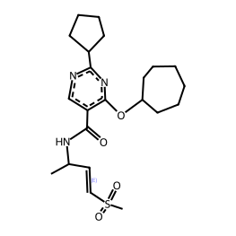 CC(/C=C/S(C)(=O)=O)NC(=O)c1cnc(C2CCCC2)nc1OC1CCCCCC1